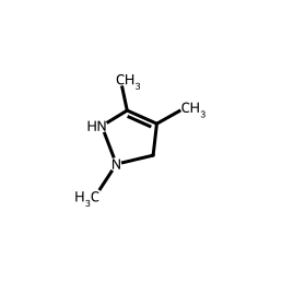 CC1=C(C)NN(C)C1